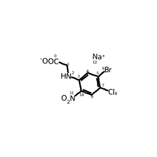 O=C([O-])CNc1cc(Br)c(Cl)cc1[N+](=O)[O-].[Na+]